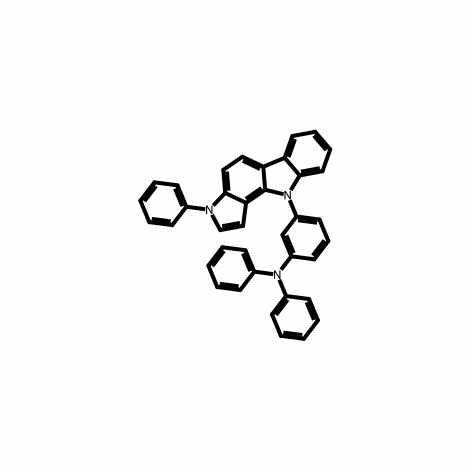 c1ccc(N(c2ccccc2)c2cccc(-n3c4ccccc4c4ccc5c(ccn5-c5ccccc5)c43)c2)cc1